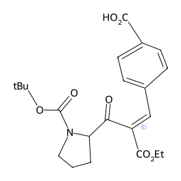 CCOC(=O)/C(=C/c1ccc(C(=O)O)cc1)C(=O)C1CCCN1C(=O)OC(C)(C)C